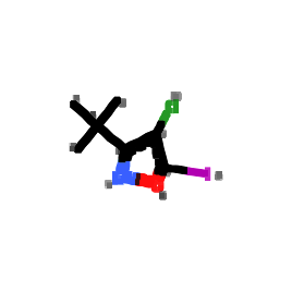 CC(C)(C)c1noc(I)c1Cl